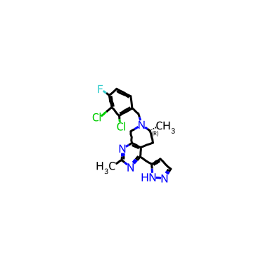 Cc1nc2c(c(-c3ccn[nH]3)n1)C[C@@H](C)N(Cc1ccc(F)c(Cl)c1Cl)C2